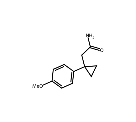 COc1ccc(C2(CC(N)=O)CC2)cc1